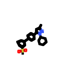 Cc1cc(-c2ccc(-c3cccc(S(C)(=O)=O)c3)cc2)n(C2CCCCC2)n1